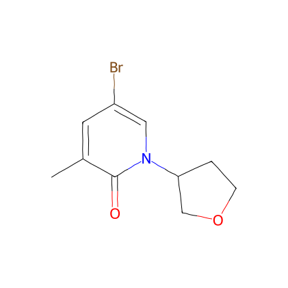 Cc1cc(Br)cn(C2CCOC2)c1=O